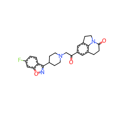 O=C(CN1CCC(c2noc3cc(F)ccc23)CC1)c1cc2c3c(c1)CCN3C(=O)CC2